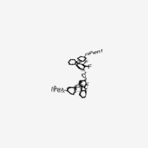 CCCCC[C@H]1CC[C@H](C2([C@@]3(F)C=C[C@@H](COC[C@@H]4C=C[C@](F)(C5([C@H]6CC[C@H](CCCCC)CC6)CCCCC5)C(F)=C4F)C(F)=C3F)CCCCC2)CC1